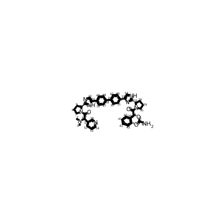 CN(C)C(C(=O)N1CCC[C@H]1c1ncc(-c2ccc(-c3ccc(-c4c[nH]c([C@@H]5CCCN5C(=O)[C@H](OC(N)=O)c5ccccc5)n4)cc3)cc2)[nH]1)c1cccnc1